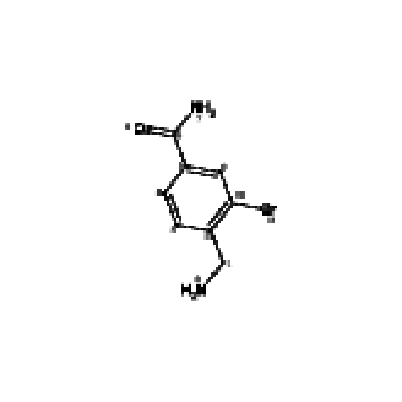 NCc1ccc(C(N)=O)cc1Br